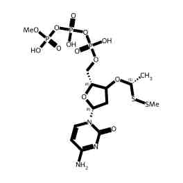 COP(=O)(O)OP(=O)(O)OP(=O)(O)OC[C@H]1O[C@@H](n2ccc(N)nc2=O)CC1O[C@H](C)SSC